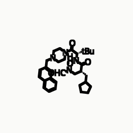 CC(C)(C)[C@H](NC(=O)[C@H](CC1CCCC1)CN(O)C=O)C(=O)N1CCN(Cc2ccc3ccccc3c2)CC1